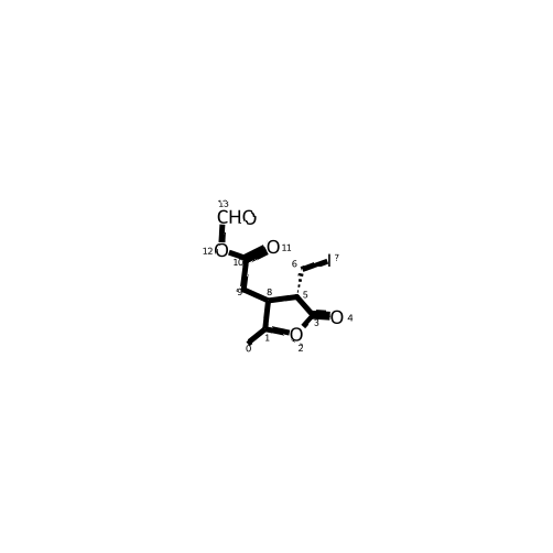 CC1OC(=O)[C@@H](CI)C1CC(=O)OC=O